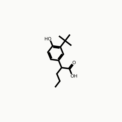 CCCC(C(=O)O)c1ccc(O)c(C(C)(C)C)c1